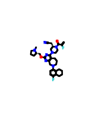 C=C(F)C(=O)N1CCN(c2nc(OC[C@@H]3CCCN3C)nc3c2CCCN(c2ccc(F)c4c2CCCC4)C3)C[C@@H]1CC#N